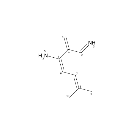 C=C(C=N)/C(N)=C\C=C(C)C